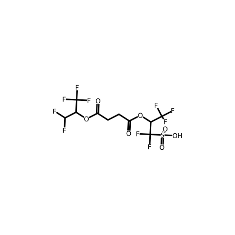 O=C(CCC(=O)OC(C(F)(F)F)C(F)(F)S(=O)(=O)O)OC(C(F)F)C(F)(F)F